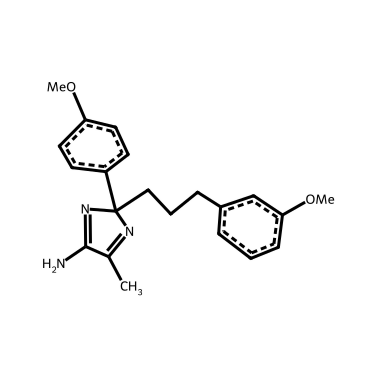 COc1ccc(C2(CCCc3cccc(OC)c3)N=C(C)C(N)=N2)cc1